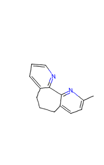 Cc1ccc2c(n1)-c1ncccc1CCC2